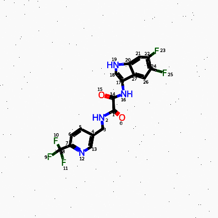 O=C(NCc1ccc(C(F)(F)F)nc1)C(=O)Nc1c[nH]c2cc(F)c(F)cc12